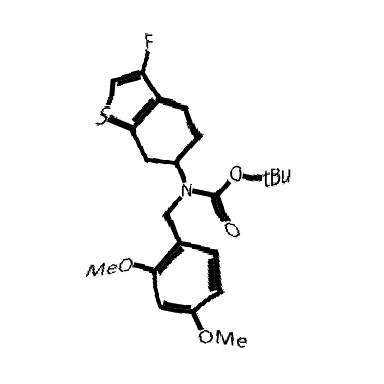 COc1ccc(CN(C(=O)OC(C)(C)C)C2CCc3c(F)csc3C2)c(OC)c1